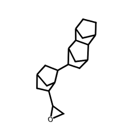 C1CC2CC1C1C3CC(C4CC5CC(C6CO6)C4C5)C(C3)C21